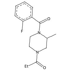 CCC(=O)N1CCN(C(=O)c2ccccc2F)C(C)C1